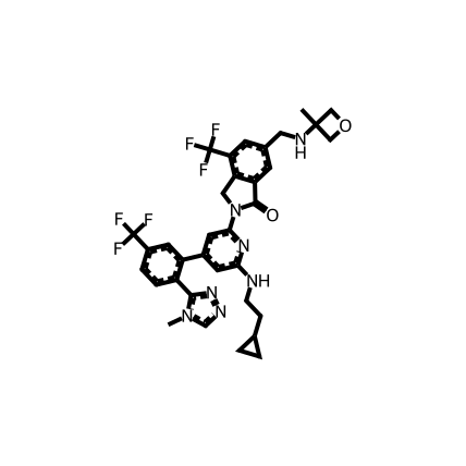 Cn1cnnc1-c1ccc(C(F)(F)F)cc1-c1cc(NCCC2CC2)nc(N2Cc3c(cc(CNC4(C)COC4)cc3C(F)(F)F)C2=O)c1